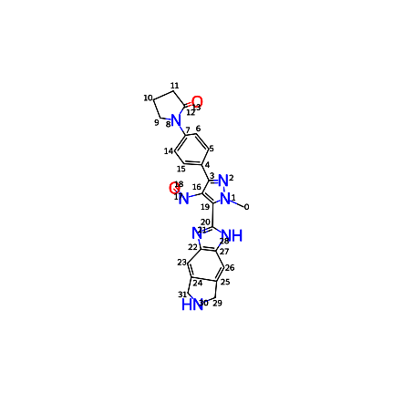 Cn1nc(-c2ccc(N3CCCC3=O)cc2)c(N=O)c1-c1nc2cc3c(cc2[nH]1)CNC3